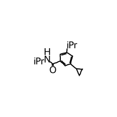 CC(C)NC(=O)c1cc(C(C)C)cc(C2CC2)c1